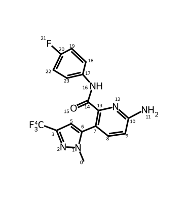 Cn1nc(C(F)(F)F)cc1-c1ccc(N)nc1C(=O)Nc1ccc(F)cc1